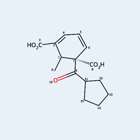 CC1C(C(=O)O)=CC=C[C@@]1(C(=O)O)C(=O)C1CCCC1